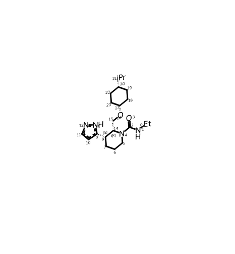 CCNC(=O)N1CCC[C@H](c2ccn[nH]2)[C@@H]1CO[C@H]1CC[C@@H](C(C)C)CC1